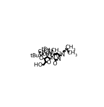 CN(C)/C=N/c1ccn([C@@H]2OC(CO)[C@@H](O[Si](C)(C)C(C)(C)C)[C@@H]2O[Si](C)(C)C(C)(C)C)c(=O)n1